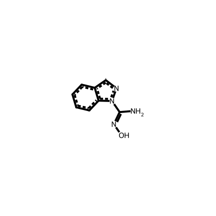 NC(=NO)n1n[c]c2ccccc21